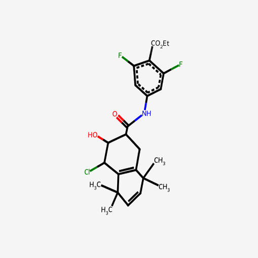 CCOC(=O)c1c(F)cc(NC(=O)C2CC3=C(C(Cl)C2O)C(C)(C)C=CC3(C)C)cc1F